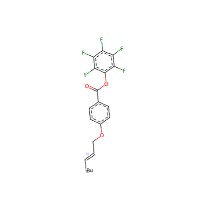 CCC(C)/C=C/COc1ccc(C(=O)Oc2c(F)c(F)c(F)c(F)c2F)cc1